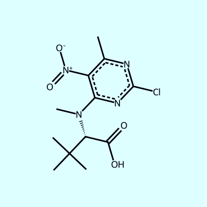 Cc1nc(Cl)nc(N(C)[C@H](C(=O)O)C(C)(C)C)c1[N+](=O)[O-]